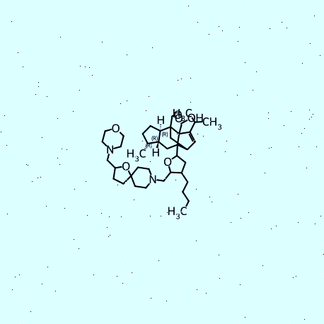 CCCCC1CC(C23C[C@@H]4[C@H](C)CC[C@H]4C4(C=O)CC2C=C(C(C)C)C34C(=O)O)OC1CN1CCC2(CCC(CN3CCOCC3)O2)CC1